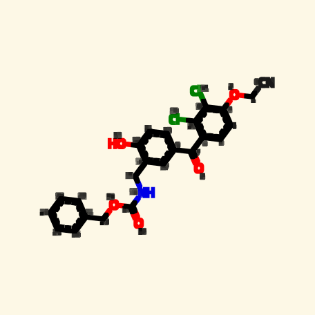 N#CCOc1ccc(C(=O)c2ccc(O)c(CNC(=O)OCc3ccccc3)c2)c(Cl)c1Cl